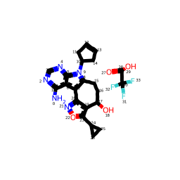 Nc1ncnc2c1c1c(n2C2CC=CC2)CCC(O)c2c-1noc2C1CC1.O=C(O)C(F)(F)F